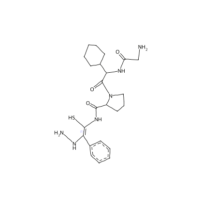 NCC(=O)NC(C(=O)N1CCCC1C(=O)N/C(S)=C(/NN)c1ccccc1)C1CCCCC1